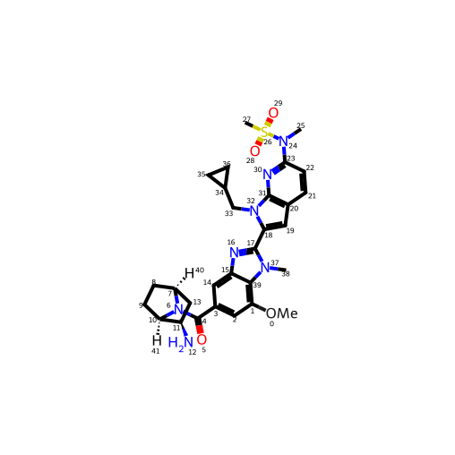 COc1cc(C(=O)N2[C@H]3CC[C@@H]2[C@H](N)C3)cc2nc(-c3cc4ccc(N(C)S(C)(=O)=O)nc4n3CC3CC3)n(C)c12